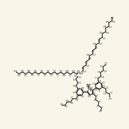 CCCCCCC1=C(c2cc(CCCC)cc(CCCCCC)c2)[N+](=[N-])C(c2cc(CCCC)cc(CCCCCC)c2)=C1.CCCCCCCCCCCCCCCCCCC[CH2][Pd][CH2]CCCCCCCCCCCCCCCCCCC